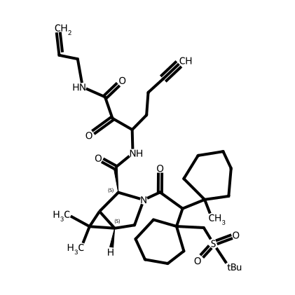 C#CCCC(NC(=O)[C@@H]1C2[C@H](CN1C(=O)C(C1(C)CCCCC1)C1(CS(=O)(=O)C(C)(C)C)CCCCC1)C2(C)C)C(=O)C(=O)NCC=C